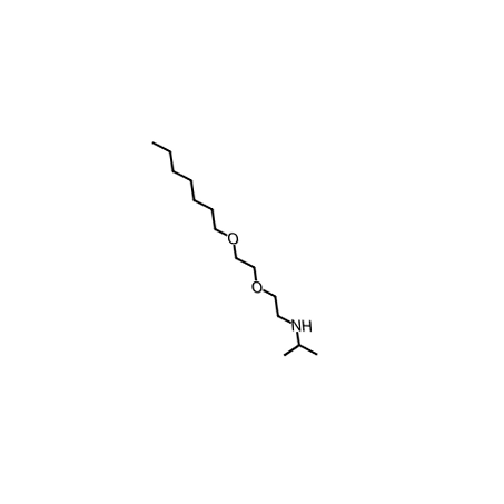 CCCCCCCOCCOCCNC(C)C